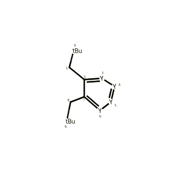 CC(C)(C)C[C]1=[Y][Y]=[Y][Y]=[C]1CC(C)(C)C